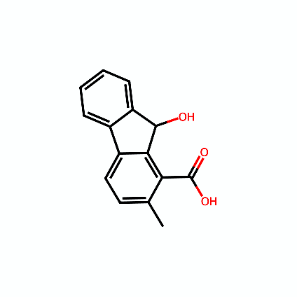 Cc1ccc2c(c1C(=O)O)C(O)c1ccccc1-2